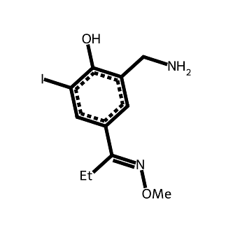 CCC(=NOC)c1cc(I)c(O)c(CN)c1